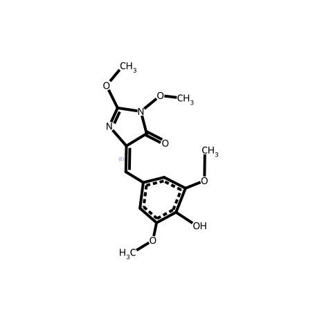 COC1=N/C(=C/c2cc(OC)c(O)c(OC)c2)C(=O)N1OC